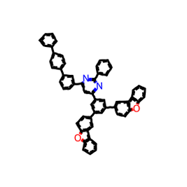 c1ccc(-c2ccc(-c3cccc(-c4cc(-c5cc(-c6ccc7oc8ccccc8c7c6)cc(-c6ccc7oc8ccccc8c7c6)c5)nc(-c5ccccc5)n4)c3)cc2)cc1